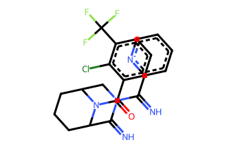 N=C(c1ccccn1)N1CC2CCCC(C1=N)N2C(=O)c1cccc(C(F)(F)F)c1Cl